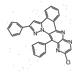 Clc1cnc2nc3c4ccccc4c4cc(-c5ccccc5)nn4c3c(-c3ccccc3)c2n1